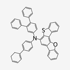 C1=CCCC(c2ccc(N(c3ccc(-c4ccccc4)c(-c4ccccc4)c3)c3cc4c5ccccc5oc4c4c3sc3ccccc34)cc2)=C1